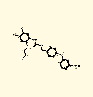 Cc1cc(NC(=O)NCc2ccc(Oc3ccnc(C(=O)O)c3)cc2)c(OCCN)cc1Cl